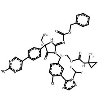 CC(C)(C)C[C@]1(c2ccc(-c3cnc(C#N)nc3)cc2)NC(=NC(=O)OCc2ccccc2)N([C@H](COC(=O)NC2(C(F)(F)F)CC2)c2ccc(Cl)c(-c3ncnn3C(F)F)c2)C1=O